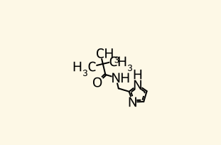 CC(C)(C)C(=O)NCc1ncc[nH]1